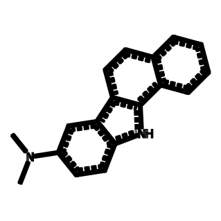 CN(C)c1ccc2[nH]c3c4ccccc4ccc3c2c1